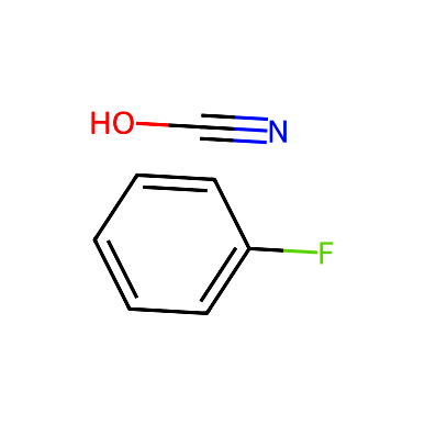 Fc1ccccc1.N#CO